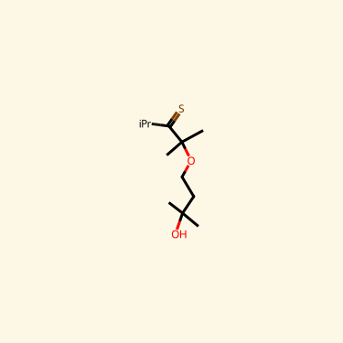 CC(C)C(=S)C(C)(C)OCCC(C)(C)O